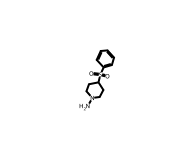 NN1CCC(S(=O)(=O)c2ccccc2)CC1